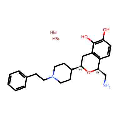 Br.Br.NC[C@H]1O[C@@H](C2CCN(CCc3ccccc3)CC2)Cc2c1ccc(O)c2O